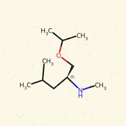 CN[C@H](COC(C)C)CC(C)C